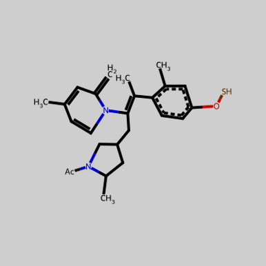 C=C1C=C(C)C=CN1/C(CC1CC(C)N(C(C)=O)C1)=C(\C)c1ccc(OS)cc1C